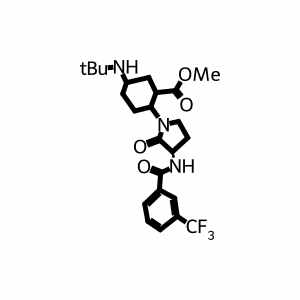 COC(=O)C1CC(NC(C)(C)C)CCC1N1CC[C@H](NC(=O)c2cccc(C(F)(F)F)c2)C1=O